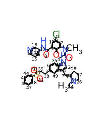 CN1C(=O)COc2c(C(=O)NC3CN4CCC3CC4)cc(Cl)cc21.CN1CCC[C@@H]1Cc1c[nH]c2ccc(CCS(=O)(=O)c3ccccc3)cc12